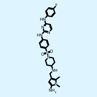 Cc1c(CNC2CCN(S(=O)(=O)c3ccc(Nc4nccc(Nc5ccc(F)cc5)n4)cc3)CC2)cc(N)n1C